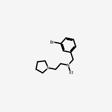 CCN(CCN1CCCC1)Cc1cccc(Br)c1